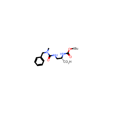 CN(Cc1ccccc1)C(=O)NC[C@H](NC(=O)OC(C)(C)C)C(=O)O